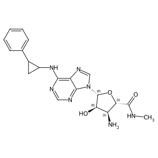 CNC(=O)[C@H]1O[C@@H](n2cnc3c(NC4CC4c4ccccc4)ncnc32)[C@H](O)[C@@H]1N